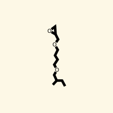 CCC(C)COCCCCOCC1CO1